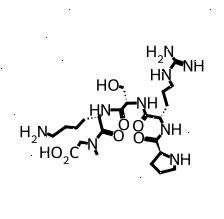 CN(CC(=O)O)C(=O)[C@H](CCCCN)NC(=O)[C@H](CO)NC(=O)[C@H](CCCNC(=N)N)NC(=O)[C@@H]1CCCN1